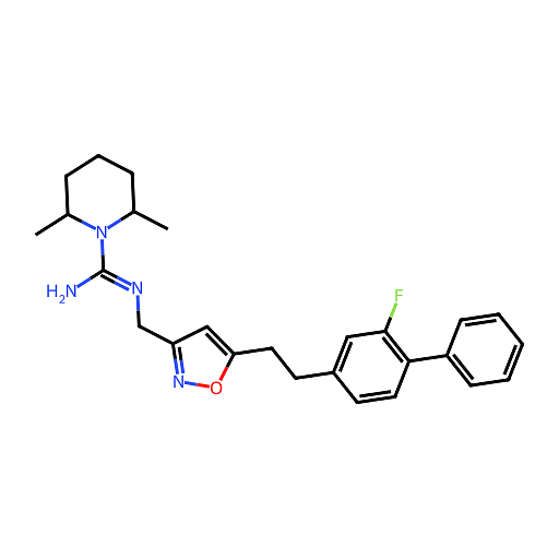 CC1CCCC(C)N1C(N)=NCc1cc(CCc2ccc(-c3ccccc3)c(F)c2)on1